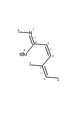 C\C=C(C)/C=C\C(=N\C)C(C)(C)C